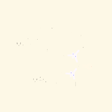 CCN(CCNC)C(=O)N1CCSc2ccc(OC)cc2C1